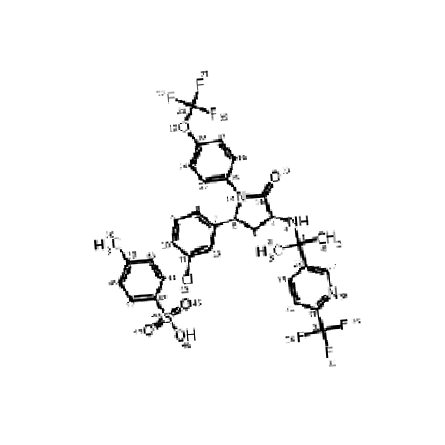 CC(C)(N[C@H]1C[C@@H](c2cccc(Cl)c2)N(c2ccc(OC(F)(F)F)cc2)C1=O)c1ccc(C(F)(F)F)nc1.Cc1ccc(S(=O)(=O)O)cc1